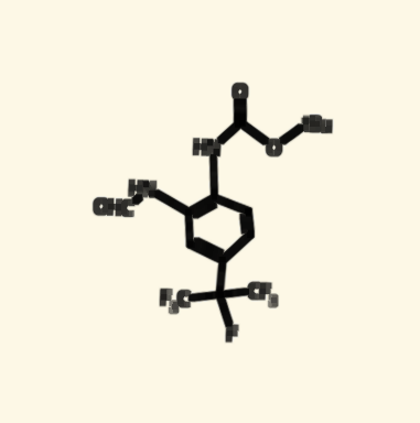 CC(C)(C)OC(=O)Nc1ccc(C(F)(C(F)(F)F)C(F)(F)F)cc1NC=O